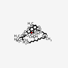 CCCCCCCCCCC1(C)OCC(COC(=O)O[C@@H]2C(=O)C=C(C)[C@@H]3C[C@H]4OC(=O)[C@H](OC(=O)CC(O)(C(C)C)C(C)C)C5[C@@H](C)[C@@H](O)[C@]6(O)OCC54C6[C@@]23C)O1